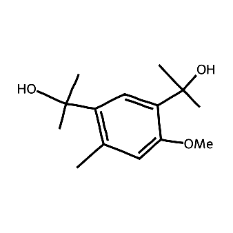 COc1cc(C)c(C(C)(C)O)cc1C(C)(C)O